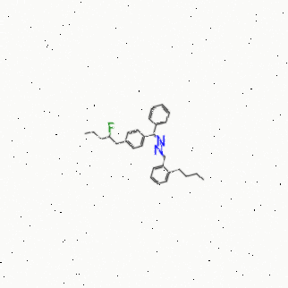 CCCCc1ccccc1C=NN=C(c1ccccc1)c1ccc(CC(F)CCC)cc1